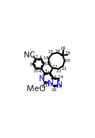 COc1nc(-c2ccc(C#N)cc2)c(C2CCCCC(C)(C)CCC2)c2cncn12